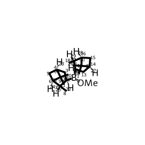 COB([C@@H]1C[C@@H]2C[C@H]([C@H]1C)C2(C)C)[C@@H]1C[C@@H]2C[C@H]([C@H]1C)C2(C)C